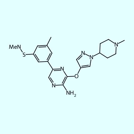 CNSc1cc(C)cc(-c2cnc(N)c(Oc3cnn(C4CCN(C)CC4)c3)n2)c1